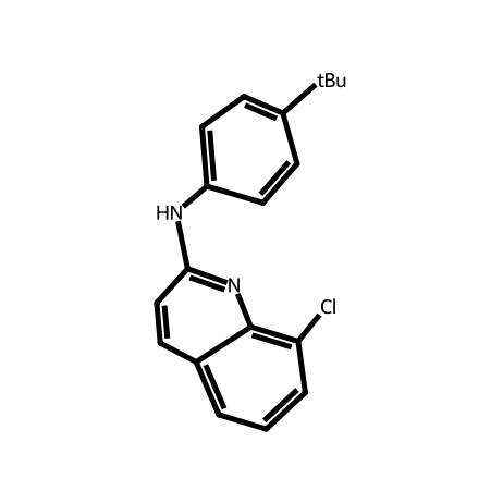 CC(C)(C)c1ccc(Nc2ccc3cccc(Cl)c3n2)cc1